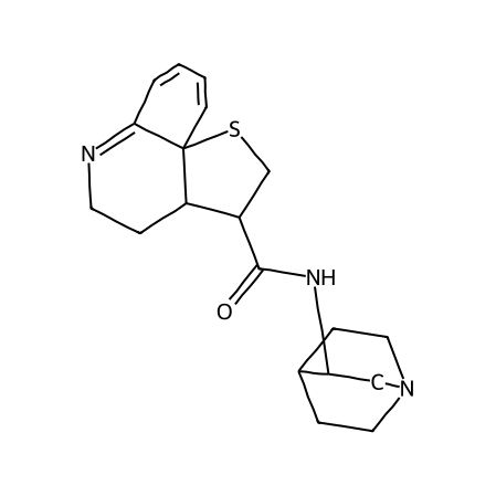 O=C(NC1CN2CCC1CC2)C1CSC23C=CC=CC2=NCCC13